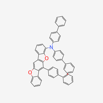 c1ccc(-c2ccc(-c3c4oc5c(N(c6ccc(-c7ccccc7)cc6)c6ccc(-c7ccccc7)cc6)cccc5c4cc4oc5ccccc5c34)cc2)cc1